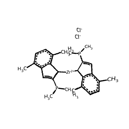 Cc1ccc(C)c2c1C=C(P(C)C)[CH]2[Zr+2][CH]1C(P(C)C)=Cc2c(C)ccc(C)c21.[Cl-].[Cl-]